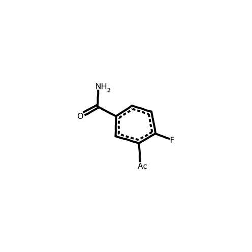 CC(=O)c1cc(C(N)=O)ccc1F